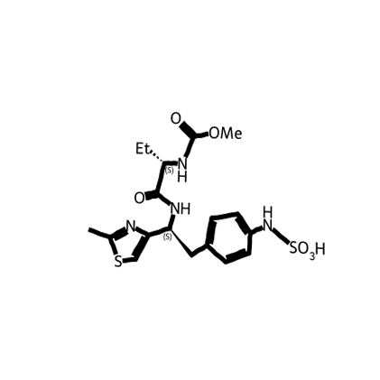 CC[C@H](NC(=O)OC)C(=O)N[C@@H](Cc1ccc(NS(=O)(=O)O)cc1)c1csc(C)n1